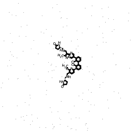 COc1nc(-c2cccc(-c3cccc(-c4cnc5c(CNC[C@@H]6CCC(=O)N6)c(C)nn5c4)c3Cl)c2Cl)ccc1CNC[C@@H]1CCC(=O)N1